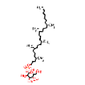 CCCCCCC[C@H](C)CCC[C@H](C)CCC[C@H](C)CCC[C@H](C)CCC[C@H](C)CCCOP(=O)(O)O[C@@H]1OC(CO)[C@@H](O)[C@H](O)C1O